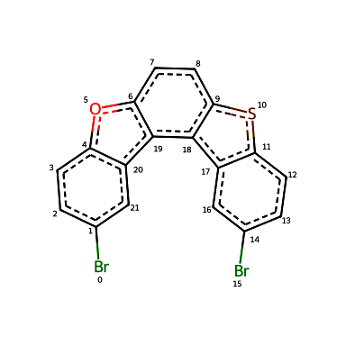 Brc1ccc2oc3ccc4sc5ccc(Br)cc5c4c3c2c1